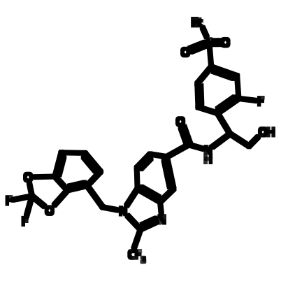 CCS(=O)(=O)c1ccc(C(CO)NC(=O)c2ccc3c(c2)nc(C(F)(F)F)n3Cc2cccc3c2OC(F)(F)O3)c(F)c1